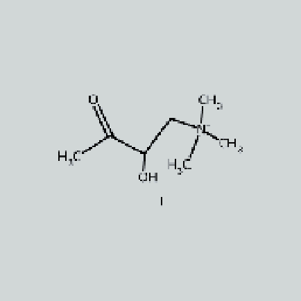 CC(=O)C(O)C[N+](C)(C)C.[I-]